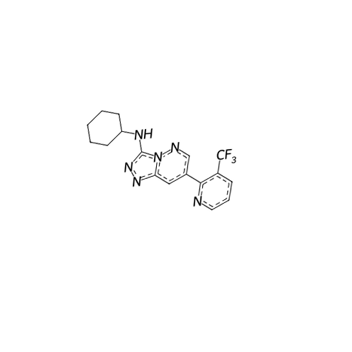 FC(F)(F)c1cccnc1-c1cnn2c(NC3CCCCC3)nnc2c1